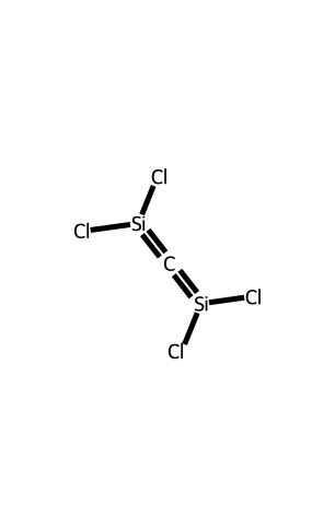 Cl[Si](Cl)=C=[Si](Cl)Cl